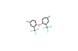 Cc1ccc(Oc2ccc(C)cc2C(F)(F)F)c(C(F)(F)F)c1